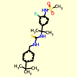 CC(C)(C)c1ccc(CNC(=S)NC(C)(C)c2ccc(NS(C)(=O)=O)c(F)c2)cc1